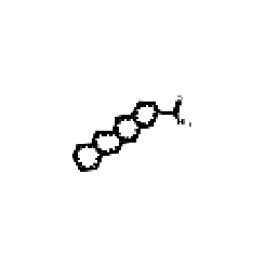 NC(=O)c1ccc2cc3cc4ccccc4cc3cc2c1